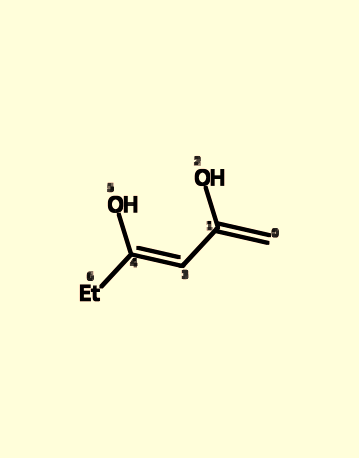 C=C(O)C=C(O)CC